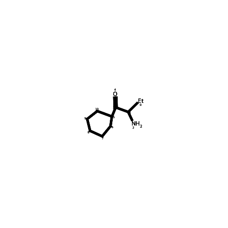 CCC(N)C(=O)C1CCCCC1